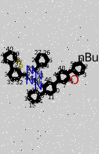 CCCCc1ccc2oc3cc(-c4ccc5c6ccccc6n(-c6nc(-c7ccccc7)nc(-c7cccc8c7sc7ccccc78)n6)c5c4)ccc3c2c1